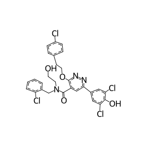 O=C(c1cc(-c2cc(Cl)c(O)c(Cl)c2)nnc1OCCc1ccc(Cl)cc1)N(CCO)Cc1ccccc1Cl